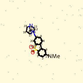 [11CH3]Nc1ccc2c(c1)-c1ccc(N3CCN4CCC3CC4)cc1S2(=O)=O